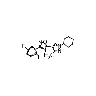 Cc1nn(C2CCCCC2)cc1-c1nc(-c2cc(F)ccc2F)no1